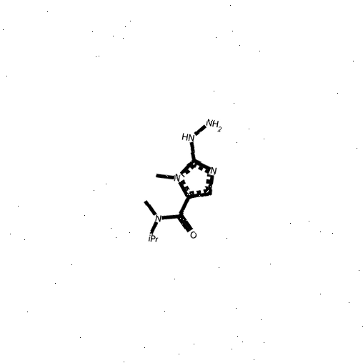 CC(C)N(C)C(=O)c1cnc(NN)n1C